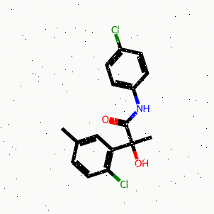 Cc1ccc(Cl)c(C(C)(O)C(=O)Nc2ccc(Cl)cc2)c1